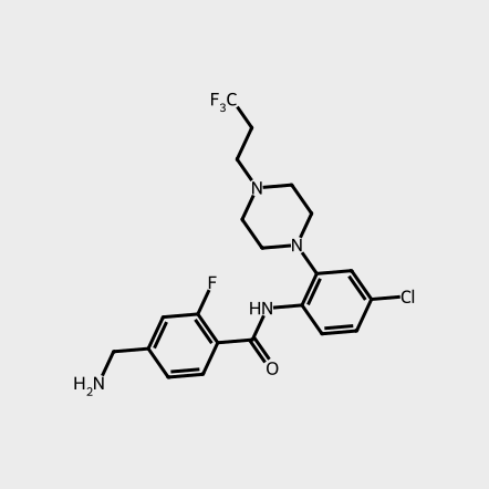 NCc1ccc(C(=O)Nc2ccc(Cl)cc2N2CCN(CCC(F)(F)F)CC2)c(F)c1